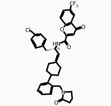 O=C(N[C@H](C=C1CCC(c2ccccc2CN2CCCC2=O)CC1)Cc1ccc(Cl)cc1)c1cc(=O)c2cc(C(F)(F)F)ccc2o1